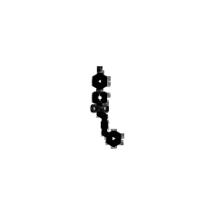 O=S(=O)(C=CC#CCc1ccccc1)N1CCN(c2ccc(F)cc2)CC1